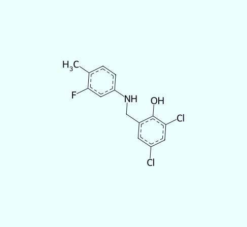 Cc1ccc(NCc2cc(Cl)cc(Cl)c2O)cc1F